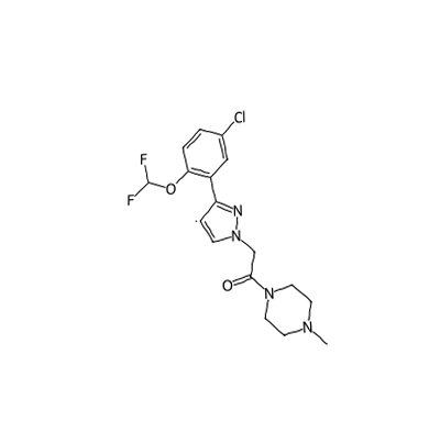 CN1CCN(C(=O)Cn2c[c]c(-c3cc(Cl)ccc3OC(F)F)n2)CC1